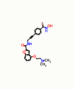 CN(C)CCOc1cccc2oc(C(=O)NCC#Cc3ccc(C(=S)NO)cc3)cc12